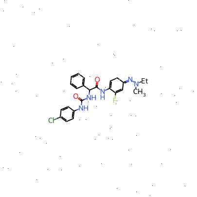 CCN(C)N=C1C=C(F)C(NC(=O)C(NC(=O)Nc2ccc(Cl)cc2)c2ccccc2)=CC1